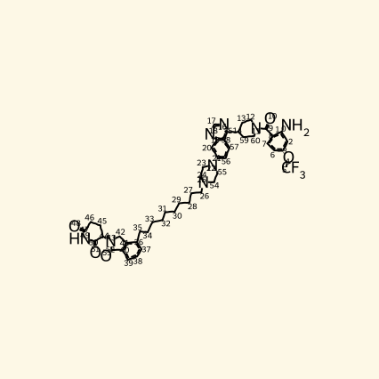 Nc1cc(OC(F)(F)F)ccc1C(=O)N1CCC(c2ncnc3cc(N4CCN(CCCCCCCCCCc5cccc6c5CN(C5CCC(=O)NC5=O)C6=O)CC4)ccc23)CC1